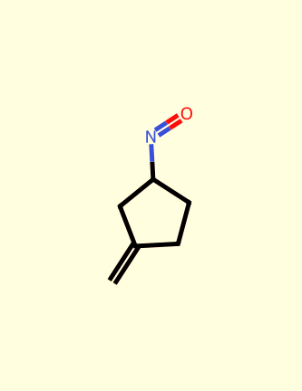 C=C1CCC(N=O)C1